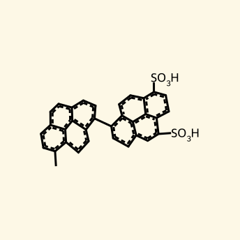 Cc1ccc2ccc3ccc(-c4ccc5cc(S(=O)(=O)O)c6ccc(S(=O)(=O)O)c7ccc4c5c76)c4ccc1c2c34